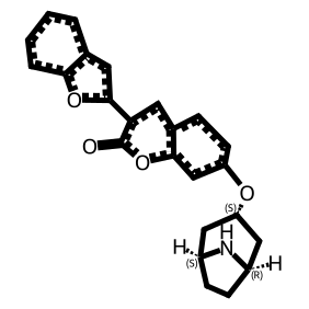 O=c1oc2cc(O[C@@H]3C[C@H]4CC[C@@H](C3)N4)ccc2cc1-c1cc2ccccc2o1